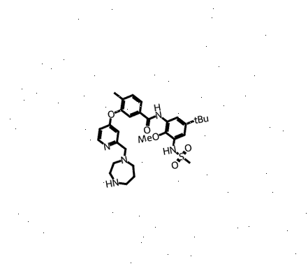 COc1c(NC(=O)c2ccc(C)c(Oc3ccnc(CN4CCCNCC4)c3)c2)cc(C(C)(C)C)cc1NS(C)(=O)=O